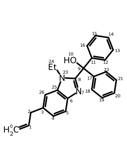 C=CCc1ccc2nc(C(O)(c3ccccc3)c3ccccc3)n(CC)c2c1